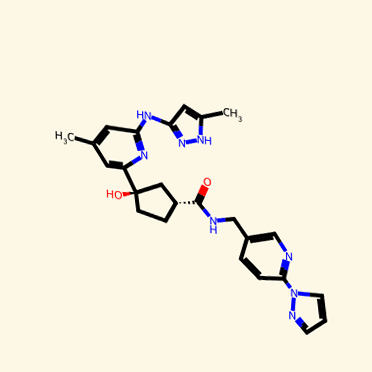 Cc1cc(Nc2cc(C)[nH]n2)nc([C@@]2(O)CC[C@@H](C(=O)NCc3ccc(-n4cccn4)nc3)C2)c1